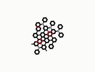 Cc1ccc2c(c1)N(c1ccccc1)c1cc(C)cc3c1B2c1cc2c(-c4c(-c5ccccc5)cccc4-c4ccccc4)cc4c5c(cc6c(-c7c(-c8ccccc8)cccc7-c7ccccc7)cc-3c1c6c25)B1c2ccc(N(c3ccccc3)c3ccccc3)cc2N(c2ccccc2)c2cc(N(c3ccccc3)c3ccccc3)cc-4c21